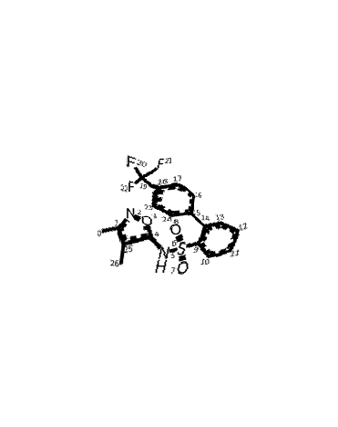 Cc1noc(NS(=O)(=O)c2ccccc2-c2ccc(C(F)(F)F)cc2)c1C